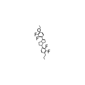 CCCc1ccc(C2CCC3C(c4ccc(OCC)c(F)c4F)=CCC32)c(F)c1F